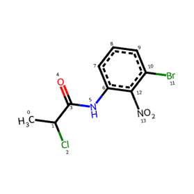 CC(Cl)C(=O)Nc1cccc(Br)c1[N+](=O)[O-]